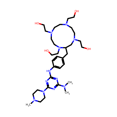 CN1CCN(c2nc(Nc3ccc(CC4CN(CCO)CCN(CCO)CCN(CCO)CCN4CCO)cc3)nc(N(C)C)n2)CC1